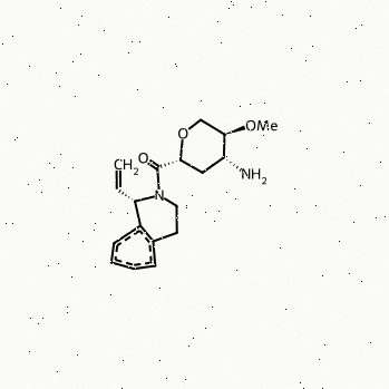 C=C[C@H]1c2ccccc2CCN1C(=O)[C@H]1C[C@@H](N)[C@H](OC)CO1